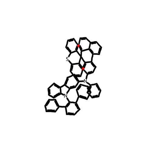 c1ccc(-c2cccc(-c3ccccc3)c2-n2c3ccccc3c3ccc(N(c4ccccc4)c4ccc5c(c4)C4(c6ccccc6Sc6ccccc64)c4cccc6cccc-5c46)cc32)cc1